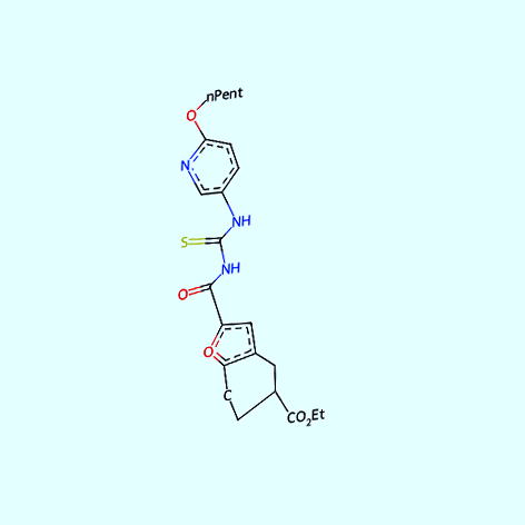 CCCCCOc1ccc(NC(=S)NC(=O)c2cc3c(o2)CCC(C(=O)OCC)C3)cn1